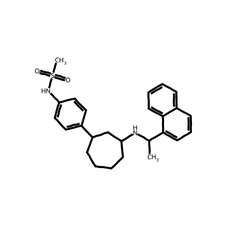 CC(NC1CCCCC(c2ccc(NS(C)(=O)=O)cc2)C1)c1cccc2ccccc12